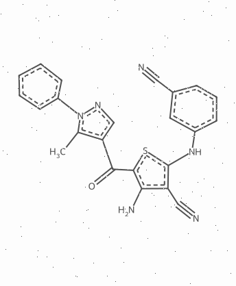 Cc1c(C(=O)c2sc(Nc3cccc(C#N)c3)c(C#N)c2N)cnn1-c1ccccc1